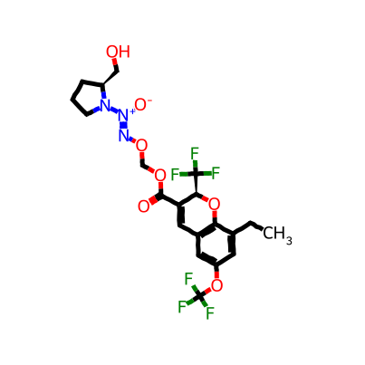 CCc1cc(OC(F)(F)F)cc2c1O[C@H](C(F)(F)F)C(C(=O)OCO/N=[N+](\[O-])N1CCC[C@H]1CO)=C2